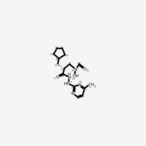 Cc1ccnc(NNC(=O)[C@H](CC2CCCC2)CN(O)C=O)n1